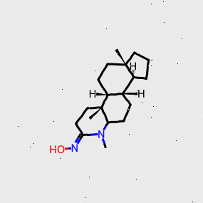 CN1C(=NO)CC[C@@]2(C)C1CC[C@@H]1[C@H]2CC[C@]2(C)C[CH]C[C@@H]12